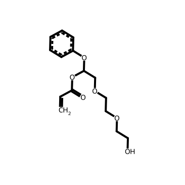 C=CC(=O)OC(COCCOCCO)Oc1ccccc1